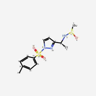 CC[C@H](N[S+]([O-])C(C)(C)C)c1ccn(S(=O)(=O)c2ccc(C)cc2)n1